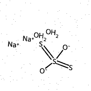 O.O.[Na+].[Na+].[O-]S([O-])(=S)=S